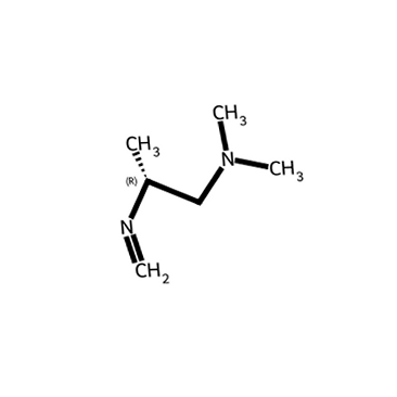 C=N[C@H](C)CN(C)C